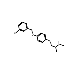 CNC(C)COc1ccc(OCc2cccc(Cl)c2)cc1